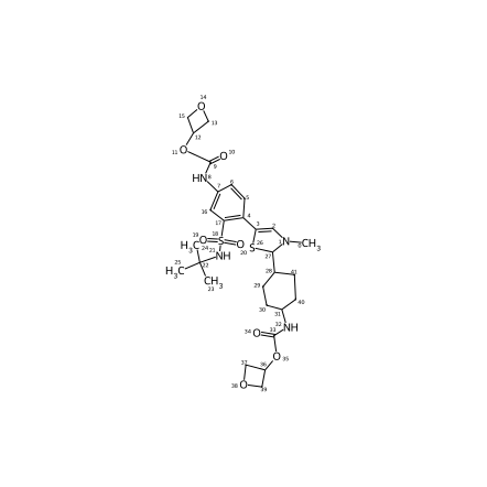 CN1C=C(c2ccc(NC(=O)OC3COC3)cc2S(=O)(=O)NC(C)(C)C)SC1C1CCC(NC(=O)OC2COC2)CC1